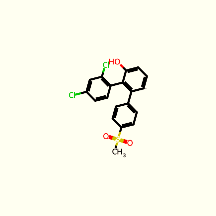 CS(=O)(=O)c1ccc(-c2[c]ccc(O)c2-c2ccc(Cl)cc2Cl)cc1